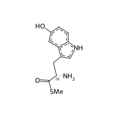 CSC(=O)[C@@H](N)Cc1c[nH]c2ccc(O)cc12